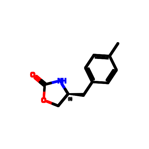 Cc1ccc(C[C@H]2COC(=O)N2)cc1